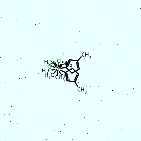 CC1=CC[C]([Zr]([CH3])([CH3])([CH3])([CH3])(=[SiH2])(=[SiH2])([Cl])([Cl])[C]2=CC(C)=CC2)=C1